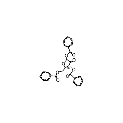 O=C(OCC1OC(OC(=O)c2ccccc2)C(=O)[C@@H]1OC(=O)c1ccccc1)c1ccccc1